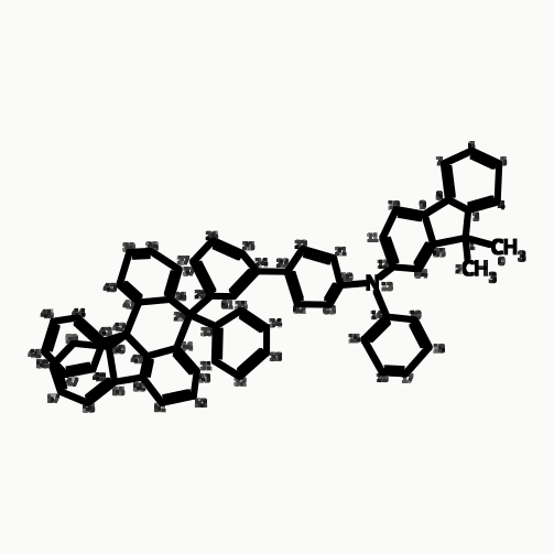 CC1(C)c2ccccc2-c2ccc(N(c3ccccc3)c3ccc(-c4cccc(C5(c6ccccc6)c6ccccc6C6(c7ccccc7)c7c(cccc75)C5=CC=CCC56)c4)cc3)cc21